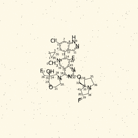 C[C@@H]1C[C@@H]1c1c(Cl)cc2[nH]ncc2c1-c1ncc2c(N3CCOC[C@](O)(CF)C3)nc(OC[C@@]34CCCN3C[C@H](F)C4)nc2c1F